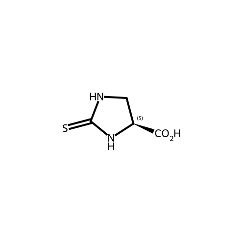 O=C(O)[C@@H]1CNC(=S)N1